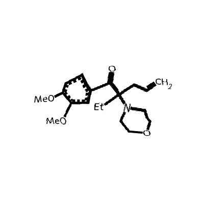 C=CCC(CC)(C(=O)c1ccc(OC)c(OC)c1)N1CCOCC1